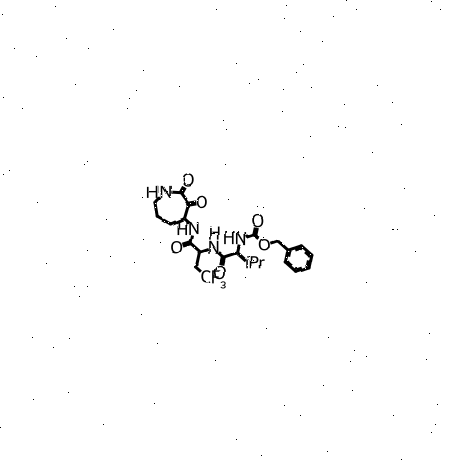 CC(C)C(NC(=O)OCc1ccccc1)C(=O)NC(CC(F)(F)F)C(=O)NC1CCCNC(=O)C1=O